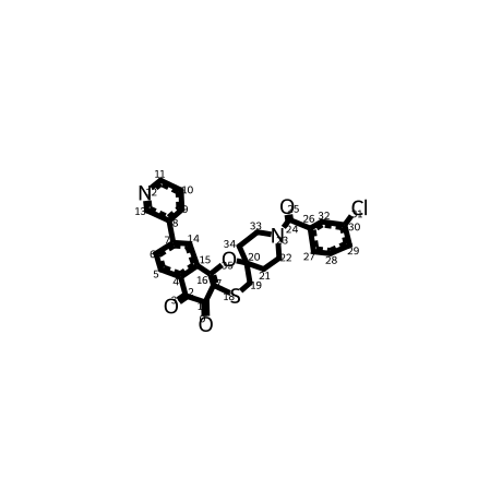 O=C1C(=O)c2ccc(-c3cccnc3)cc2C2=C1SCC1(CCN(C(=O)c3cccc(Cl)c3)CC1)O2